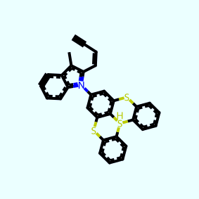 C#C/C=C\c1c(C)c2c#cccc2n1-c1cc2c3c(c1)Sc1ccccc1[SH]3c1ccccc1S2